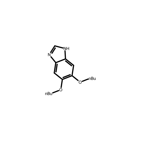 CCCCOc1cc2nc[nH]c2cc1OCCCC